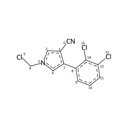 N#Cc1cn(CCl)cc1-c1cccc(Cl)c1Cl